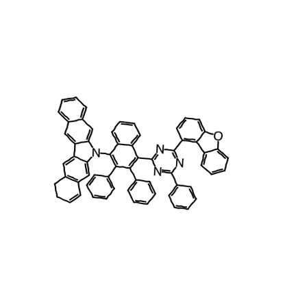 C1=Cc2cc3c(cc2CC1)c1cc2ccccc2cc1n3-c1c(-c2ccccc2)c(-c2ccccc2)c(-c2nc(-c3ccccc3)nc(-c3cccc4oc5ccccc5c34)n2)c2ccccc12